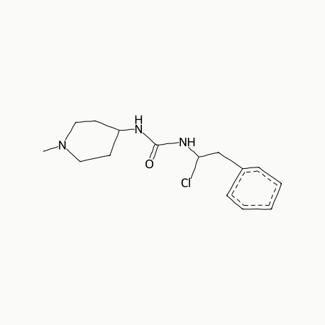 CN1CCC(NC(=O)NC(Cl)Cc2ccccc2)CC1